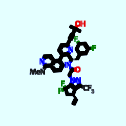 C=C[C@H]1CC(F)(F)c2c1c(C(F)(F)F)nn2CC(=O)N[C@@H](CC1=CC(F)=CC(F)C1)c1nc(C#CC(C)(C)O)ccc1-c1cccc2c(NC)nccc12